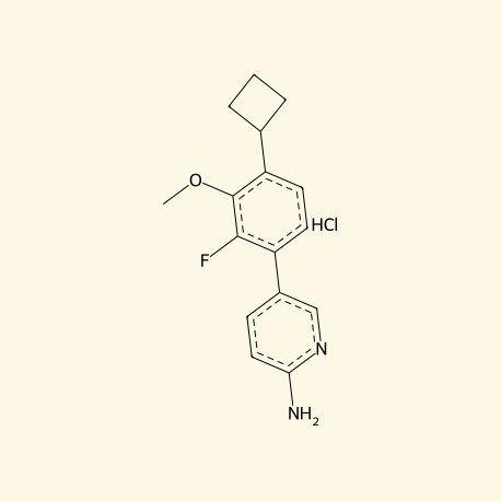 COc1c(C2CCC2)ccc(-c2ccc(N)nc2)c1F.Cl